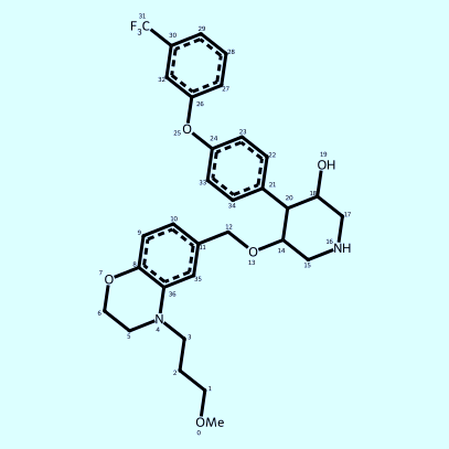 COCCCN1CCOc2ccc(COC3CNCC(O)C3c3ccc(Oc4cccc(C(F)(F)F)c4)cc3)cc21